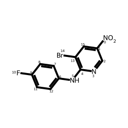 O=[N+]([O-])c1cnc(Nc2ccc(F)cc2)c(Br)c1